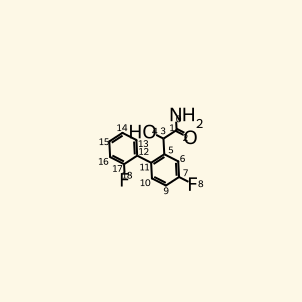 NC(=O)C(O)c1cc(F)ccc1-c1ccccc1F